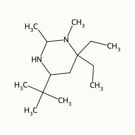 CCC1(CC)CC(C(C)(C)C)NC(C)N1C